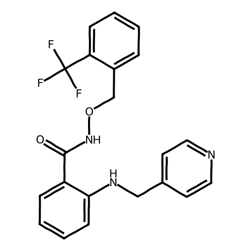 O=C(NOCc1ccccc1C(F)(F)F)c1ccccc1NCc1ccncc1